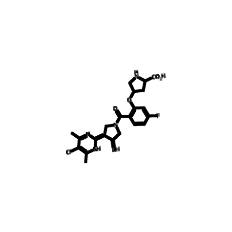 CC1=N/C(=C2\CN(C(=O)c3ccc(F)cc3OC3CNC(C(=O)O)C3)CC2=N)NC(C)=C1Cl